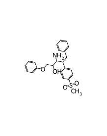 CS(=O)(=O)c1ccc(C(Cc2ccccc2)C(N)C(O)COc2ccccc2)cc1